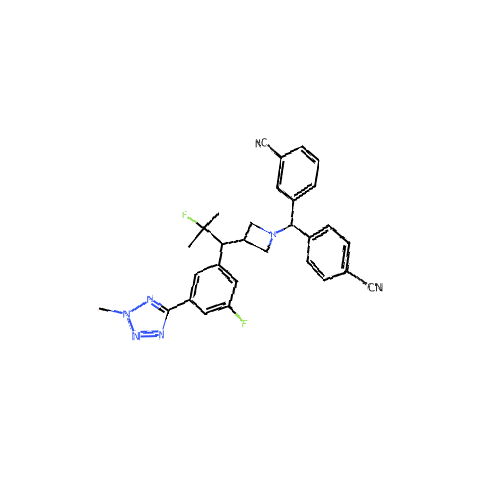 Cn1nnc(-c2cc(F)cc(C(C3CN(C(c4ccc(C#N)cc4)c4cccc(C#N)c4)C3)C(C)(C)F)c2)n1